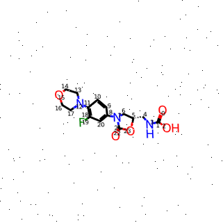 O=C(O)NC[C@H]1CN(c2ccc(N3CCOCC3)c(F)c2)C(=O)O1